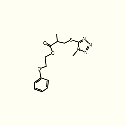 CC(CSc1nnnn1C)C(=O)OCCOc1ccccc1